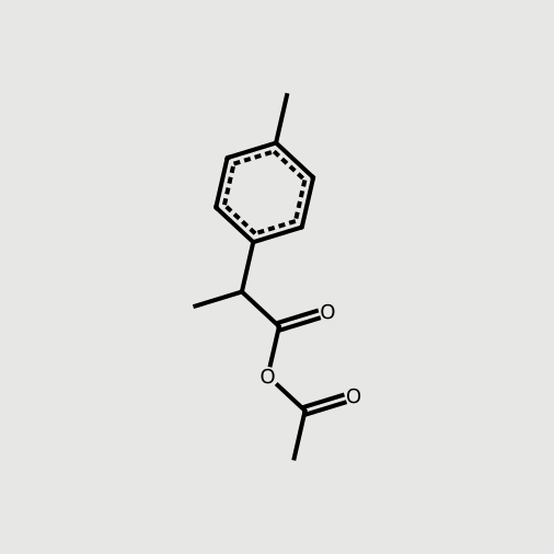 CC(=O)OC(=O)C(C)c1ccc(C)cc1